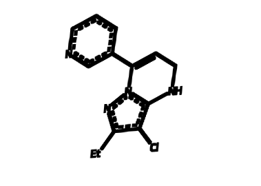 CCc1nn2c(c1Cl)NCC=C2c1cccnc1